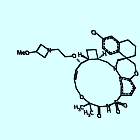 COC1CN(CCO[C@H]2C=CCOC(C)(C)C(=O)NS(=O)(=O)c3ccc4c(c3)N(C[C@@H]3CC[C@H]32)C[C@@]2(CCCc3cc(Cl)ccc32)CO4)C1